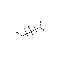 FC(F)C(F)(F)C(F)(F)C(F)(F)CCl